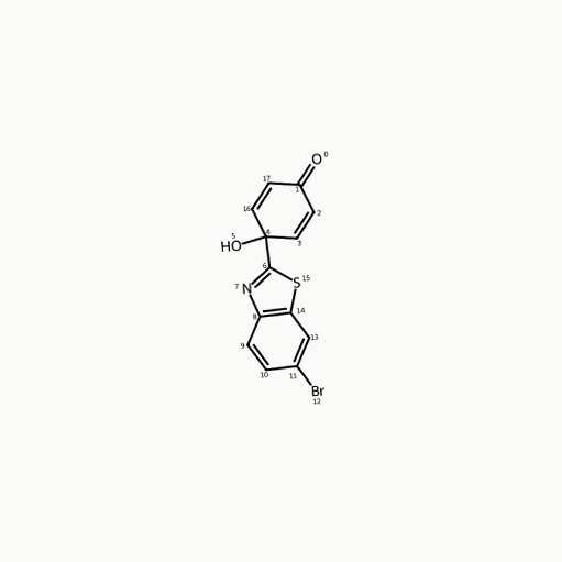 O=C1C=CC(O)(c2nc3ccc(Br)cc3s2)C=C1